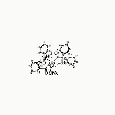 CO[C@@H]1O[C@H](C(O)[Si](c2ccccc2)(c2ccccc2)C(C)(C)C)[C@](O)(C(=O)c2ccccc2)[C@]1(O)C(=O)c1ccccc1